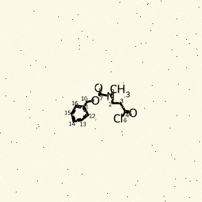 CN(CCC(=O)Cl)C(=O)OCc1ccccc1